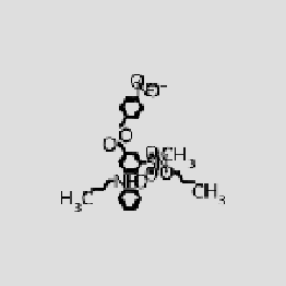 CCCCNc1cc(C(=O)OCc2ccc([N+](=O)[O-])cc2)cc(S(=O)(=O)N(C)OCCCC)c1Oc1ccccc1